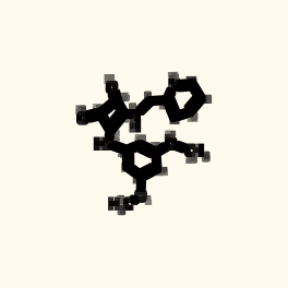 COc1cc(Nc2c(NCc3ccccn3)c(=O)c2=O)cc(OC)c1